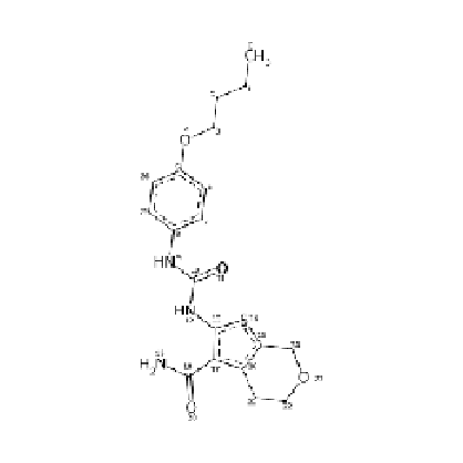 CCCCOc1ccc(NC(=O)Nc2sc3c(c2C(N)=O)CCOC3)cc1